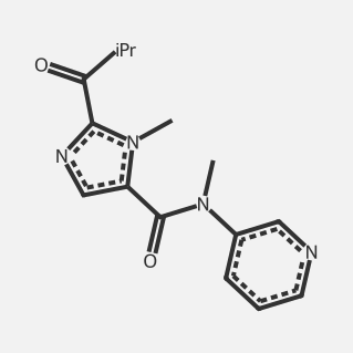 CC(C)C(=O)c1ncc(C(=O)N(C)c2cccnc2)n1C